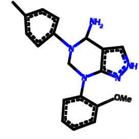 COc1ccccc1N1CN(c2ccc(C)cc2)C(N)c2c[nH]nc21